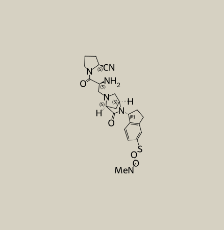 CNOOSc1ccc2c(c1)CC[C@H]2N1C(=O)[C@@H]2C[C@H]1CN2C[C@H](N)C(=O)N1CCC[C@H]1C#N